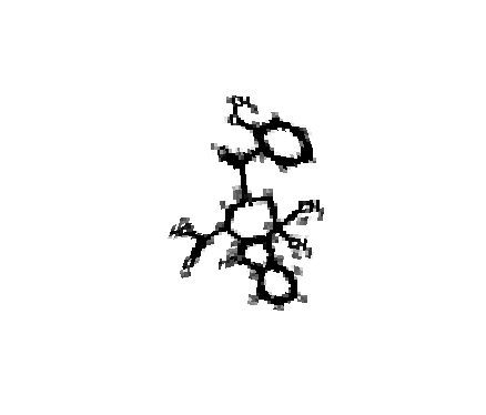 COc1ccccc1C(=O)N1C=C(C(=O)O)c2[nH]c3ccccc3c2C(C)(C)C1